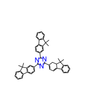 CC1(C)c2ccccc2-c2ccc(-c3nc(C4=CC=C5c6ccccc6C(C)(C)C5C4)nc(-c4ccc5c(c4)C(C)(C)c4ccccc4-5)n3)cc21